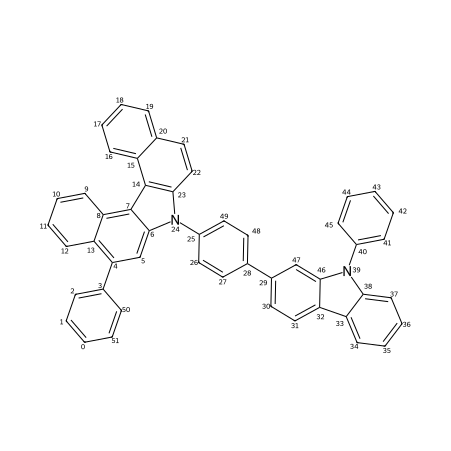 c1ccc(-c2cc3c(c4ccccc24)c2c4ccccc4ccc2n3-c2ccc(-c3ccc4c5ccccc5n(-c5ccccc5)c4c3)cc2)cc1